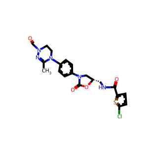 CC1=NN(C=O)CCN1c1ccc(N2C[C@H](CNC(=O)c3ccc(Cl)s3)OC2=O)cc1